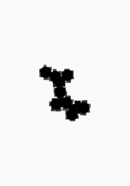 c1ccc(-c2ccc3c(-c4ccccc4)nc(-c4ccc(-n5c6ccccc6c6cc(-n7c8ccccc8n8c9ccccc9nc78)ccc65)cc4)nc3c2)cc1